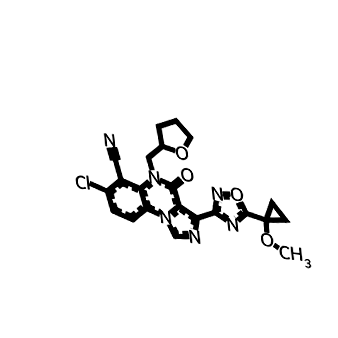 COC1(c2nc(-c3ncn4c3c(=O)n(CC3CCCO3)c3c(C#N)c(Cl)ccc34)no2)CC1